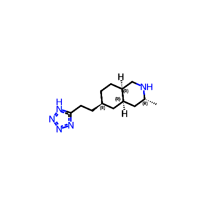 C[C@@H]1C[C@H]2C[C@@H](CCc3nnn[nH]3)CC[C@H]2CN1